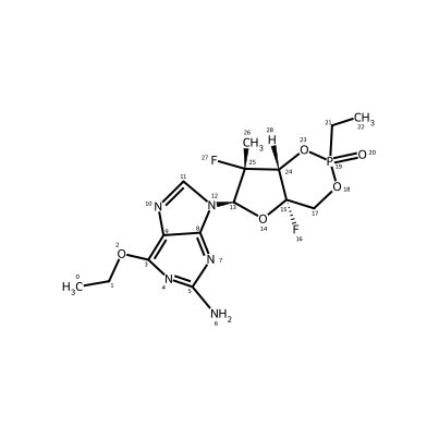 CCOc1nc(N)nc2c1ncn2[C@@H]1O[C@]2(F)COP(=O)(CC)O[C@H]2[C@@]1(C)F